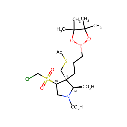 CC(=O)SC[C@@]1(CCCB2OC(C)(C)C(C)(C)O2)[C@H](S(=O)(=O)CCl)CN(C(=O)O)[C@@H]1C(=O)O